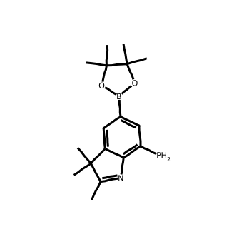 CC1=Nc2c(P)cc(B3OC(C)(C)C(C)(C)O3)cc2C1(C)C